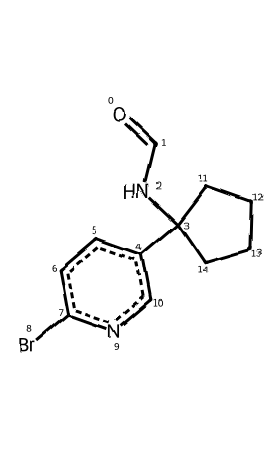 O=CNC1(c2ccc(Br)nc2)CCCC1